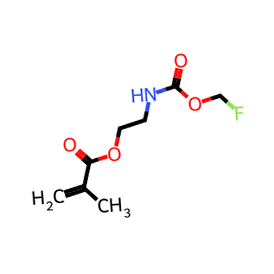 C=C(C)C(=O)OCCNC(=O)OCF